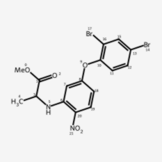 COC(=O)C(C)Nc1cc(Oc2ccc(Br)cc2Br)ccc1[N+](=O)[O-]